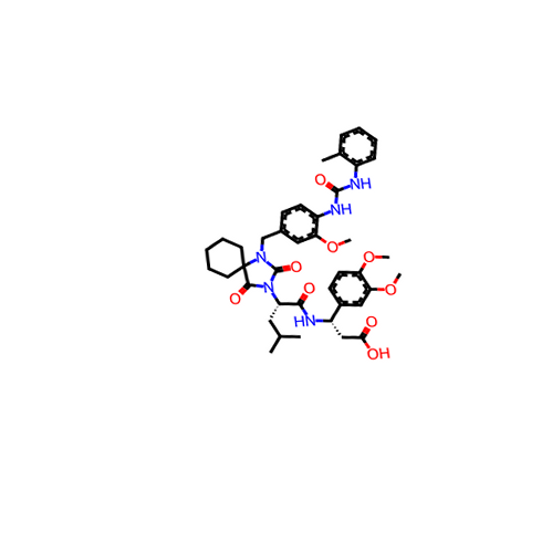 COc1cc(CN2C(=O)N([C@@H](CC(C)C)C(=O)N[C@@H](CC(=O)O)c3ccc(OC)c(OC)c3)C(=O)C23CCCCC3)ccc1NC(=O)Nc1ccccc1C